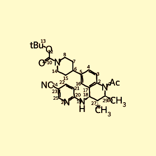 CC(=O)N1c2ccc(C3CCN(C(=O)OC(C)(C)C)CC3)cc2[C@H](Nc2ccc(C#N)cn2)[C@@H](C)[C@@H]1C